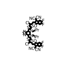 CC(C)CN1c2c(sc3c(Cl)c(/C=C4\C(=O)c5cc(F)c(F)cc5C4=C(C#N)C#N)sc23)C2c3nsnc3C3c4sc5c(Cl)c(/C=C6\C(=O)c7cc(F)c(F)cc7C6=C(C#N)C#N)sc5c4N(CC(C)C)C3C21